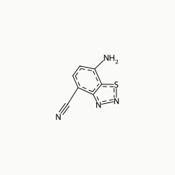 N#Cc1ccc(N)c2snnc12